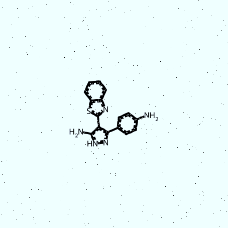 Nc1ccc(-c2n[nH]c(N)c2-c2nc3ccccc3s2)cc1